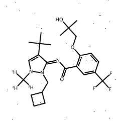 [3H]C([3H])([3H])n1cc(C(C)(C)C)c(=NC(=O)c2cc(C(F)(F)F)ccc2OCC(C)(C)O)n1CC1CCC1